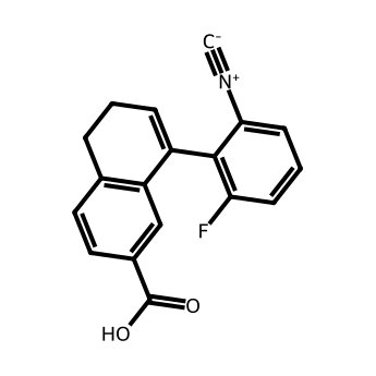 [C-]#[N+]c1cccc(F)c1C1=CCCc2ccc(C(=O)O)cc21